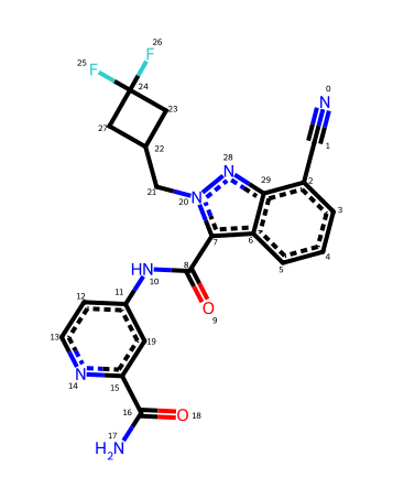 N#Cc1cccc2c(C(=O)Nc3ccnc(C(N)=O)c3)n(CC3CC(F)(F)C3)nc12